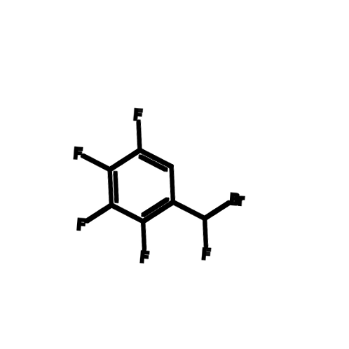 Fc1cc(C(F)Br)c(F)c(F)c1F